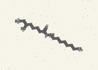 CCCCCCCCNOC(=O)CCCCC(O)CC